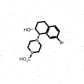 O=C(O)N1CCN([C@@H]2c3cc(Br)ccc3CC[C@H]2O)CC1